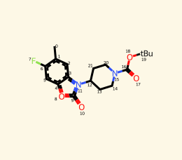 Cc1cc2c(cc1F)oc(=O)n2C1CCN(C(=O)OC(C)(C)C)CC1